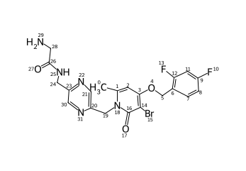 Cc1cc(OCc2ccc(F)cc2F)c(Br)c(=O)n1Cc1cnc(CNC(=O)CN)cn1